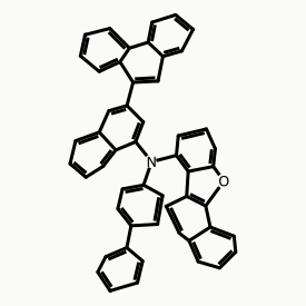 c1ccc(-c2ccc(N(c3cc(-c4cc5ccccc5c5ccccc45)cc4ccccc34)c3cccc4oc5c6ccccc6ccc5c34)cc2)cc1